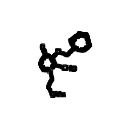 COCCn1ccc(=O)c(OCc2ccccc2)c1C=O